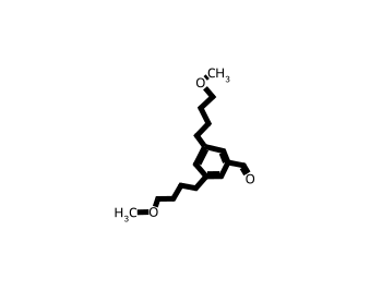 COCCCCc1cc(C=O)cc(CCCCOC)c1